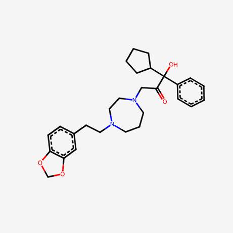 O=C(CN1CCCN(CCc2ccc3c(c2)OCO3)CC1)C(O)(c1ccccc1)C1CCCC1